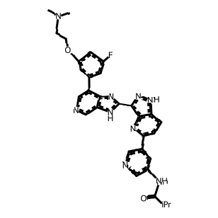 CC(C)C(=O)Nc1cncc(-c2ccc3[nH]nc(-c4nc5c(-c6cc(F)cc(OCCN(C)C)c6)cncc5[nH]4)c3n2)c1